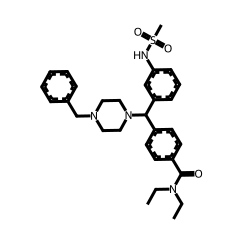 CCN(CC)C(=O)c1ccc(C(c2cccc(NS(C)(=O)=O)c2)N2CCN(Cc3ccccc3)CC2)cc1